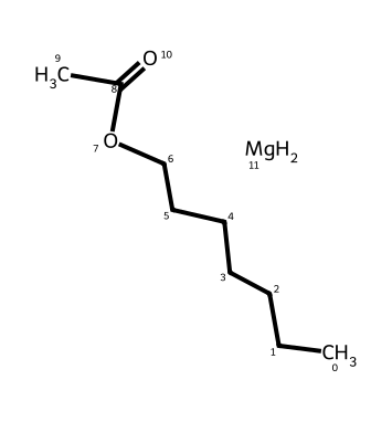 CCCCCCCOC(C)=O.[MgH2]